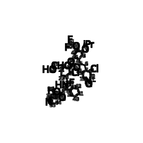 CC(C)Oc1cc(C(Cc2c(Cl)c[n+]([O-])cc2Cl)OC(=O)c2cccc(CNC(C(=O)O[C@H]3CN4CCC3CC4)c3ccccc3F)c2)ccc1OC(F)F.O=CO